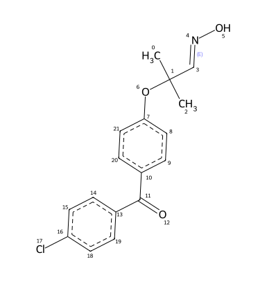 CC(C)(/C=N/O)Oc1ccc(C(=O)c2ccc(Cl)cc2)cc1